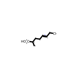 CC(CC/C=C/CCl)C(=O)O